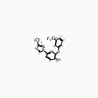 CCc1ccc(-n2cnc(C(F)(F)F)n2)nc1Oc1cccc(C(F)(F)F)c1